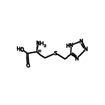 N[C@@H](CSCc1nnn[nH]1)C(=O)O